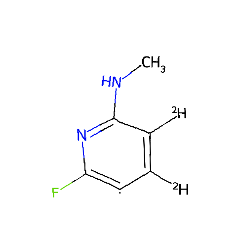 [2H]c1[c]c(F)nc(NC)c1[2H]